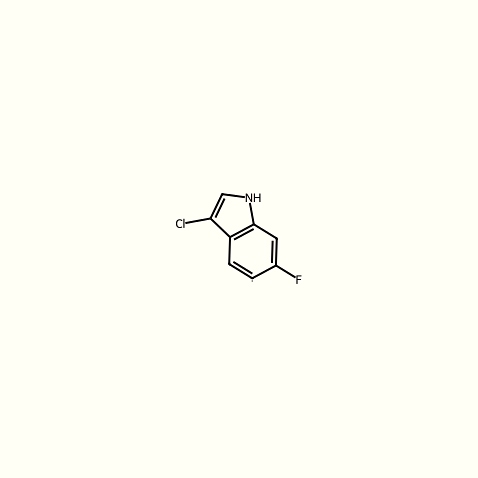 Fc1[c]cc2c(Cl)c[nH]c2c1